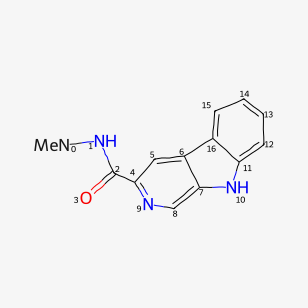 CNNC(=O)c1cc2c(cn1)[nH]c1ccccc12